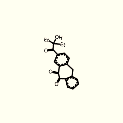 CCC(O)(CC)C(=O)c1ccc2c(c1)C(=O)C(=O)c1ccccc1C2